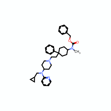 CN(C(=O)OCc1ccccc1)C1CCC(CCN2CCC(N(CC3CC3)c3ccccn3)CC2)(c2ccccc2)CC1